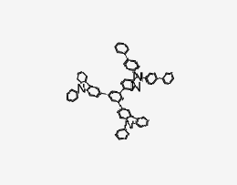 c1ccc(-c2ccc(N(c3ccc(-c4ccccc4)cc3)c3ccc(-c4cc(-c5ccc6c(c5)c5ccccc5n6-c5ccccc5)cc(-c5ccc6c(c5)c5ccccc5n6-c5ccccc5)c4)cn3)cc2)cc1